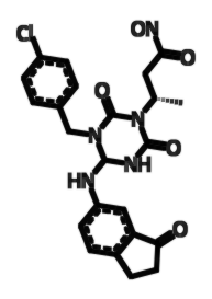 C[C@@H](CC(=O)N=O)N1C(=O)NC(Nc2ccc3c(c2)C(=O)CC3)N(Cc2ccc(Cl)cc2)C1=O